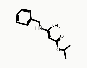 CC(C)OC(=O)C=C(N)NCc1ccccc1